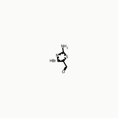 Br.Nc1ncc(C=O)s1